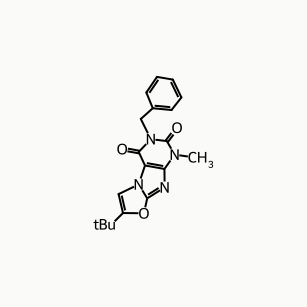 Cn1c(=O)n(Cc2ccccc2)c(=O)c2c1nc1oc(C(C)(C)C)cn12